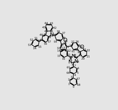 c1ccc(-c2ccc(-c3nc(-c4ccccc4)nc(-c4cccc5oc6ccc(-c7cccc8c7oc7ccc(-n9c%10ccccc%10c%10cc(-c%11ccccc%11)ccc%109)cc78)cc6c45)n3)cc2)cc1